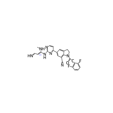 CN/C(=C\C=N)Nc1nccc(-c2cc(C#N)c3c(c2)CCN3C(=O)Cc2c(F)cccc2F)n1